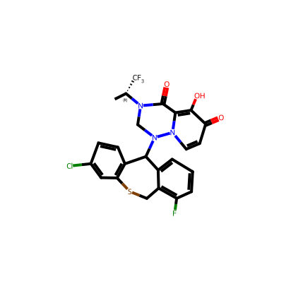 C[C@@H](N1CN(C2c3ccc(Cl)cc3SCc3c(F)cccc32)n2ccc(=O)c(O)c2C1=O)C(F)(F)F